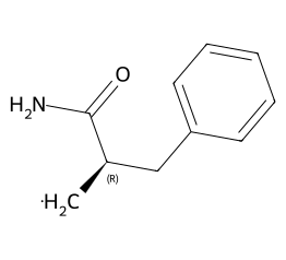 [CH2][C@H](Cc1ccccc1)C(N)=O